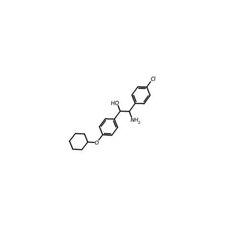 NC(c1ccc(Cl)cc1)C(O)c1ccc(OC2CCCCC2)cc1